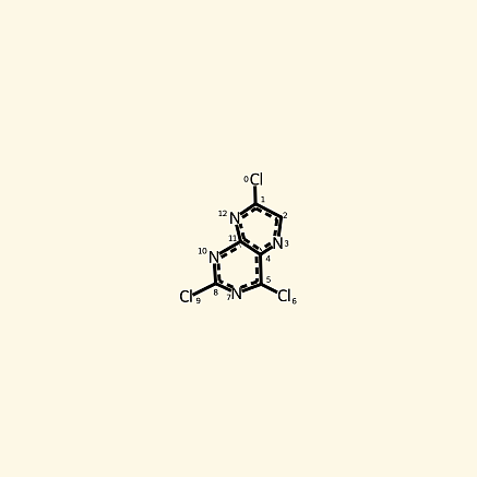 Clc1cnc2c(Cl)nc(Cl)nc2n1